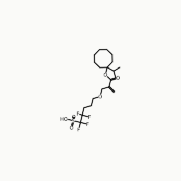 C=C(COCCCC(F)(F)C(F)(F)S(=O)(=O)O)C(=O)OC1(C(C)C)CCCCCCC1